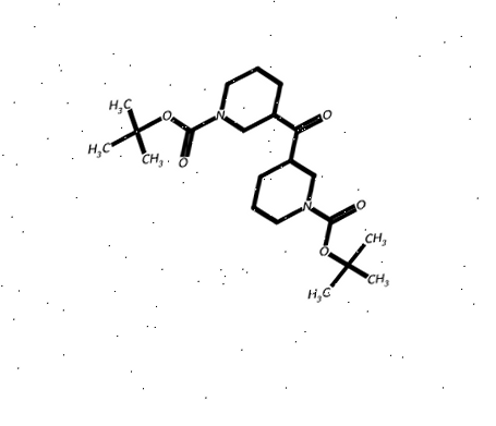 CC(C)(C)OC(=O)N1CCCC(C(=O)C2CCCN(C(=O)OC(C)(C)C)C2)C1